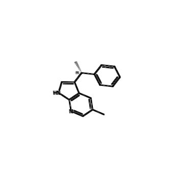 Cc1cnc2[nH]cc([C@H](C)c3ccccc3)c2c1